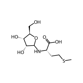 CSCC[C@H](NC1O[C@H](CO)[C@@H](O)[C@H]1O)C(=O)O